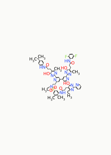 CCN(CCc1cc(-c2ccnc(-c3nc(C)c(CCC(=O)Nc4cc(F)ccc4F)c(O)n3)c2)cc(-c2nc(C)c(CCC(=O)Nc3ccc(C(C)C)cc3)c(O)n2)n1)S(=O)(=O)c1cc(C)c(C)c(NC(=O)CCc2c(C)nc(-c3ccccn3)nc2O)c1